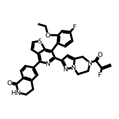 C=C(F)C(=O)N1CCn2nc(-c3nc(-c4ccc5c(c4)CCNC5=O)c4ccsc4c3-c3ccc(F)cc3OCC)cc2C1